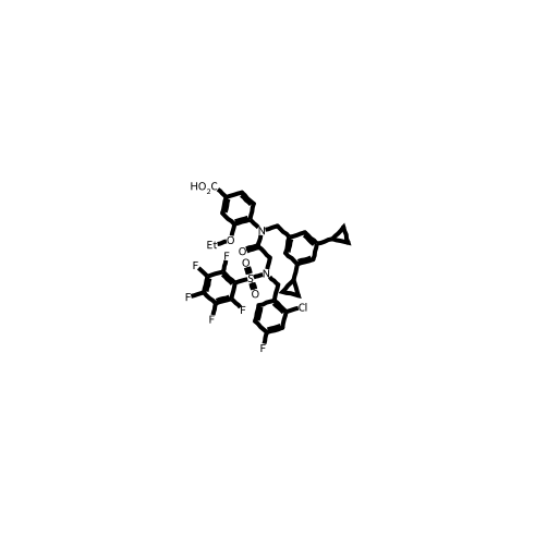 CCOc1cc(C(=O)O)ccc1N(Cc1cc(C2CC2)cc(C2CC2)c1)C(=O)CN(Cc1ccc(F)cc1Cl)S(=O)(=O)c1c(F)c(F)c(F)c(F)c1F